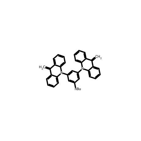 C=C1c2ccccc2N(c2cc(CCCC)cc(N3c4ccccc4C(=C)c4ccccc43)c2)c2ccccc21